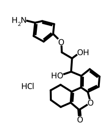 Cl.Nc1ccc(OCC(O)C(O)c2cccc3oc(=O)c4c(c23)CCCC4)cc1